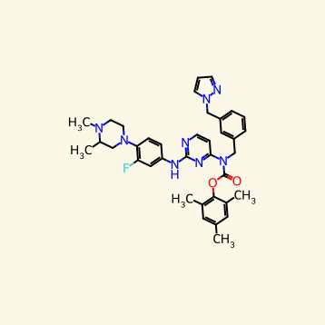 Cc1cc(C)c(OC(=O)N(Cc2cccc(Cn3cccn3)c2)c2ccnc(Nc3ccc(N4CCN(C)C(C)C4)c(F)c3)n2)c(C)c1